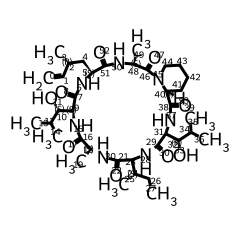 C=C[C@H](C)C[C@@H]1NC(=O)[C@H]([C@@H](O)C(C)C)NC(=O)[C@H](C)NC(=O)C([C@@H](C)CC)NC(=O)C([C@H](O)C(C)C)NC(=O)[C@H]2CCCCN2C(=O)[C@H](C)NC1=O